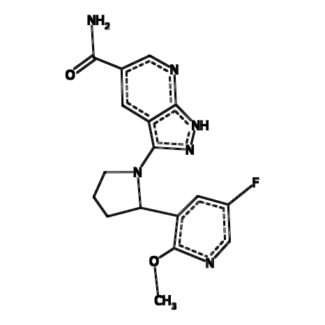 COc1ncc(F)cc1C1CCCN1c1n[nH]c2ncc(C(N)=O)cc12